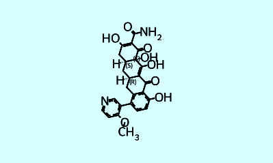 COc1ccncc1-c1ccc(O)c2c1C[C@H]1C[C@H]3CC(O)=C(C(N)=O)C(=O)[C@@]3(O)C(O)=C1C2=O